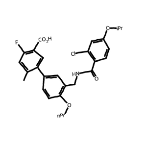 CCCOc1ccc(-c2cc(C(=O)O)c(F)cc2C)cc1CNC(=O)c1ccc(OC(C)C)cc1Cl